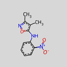 Cc1noc(Nc2ccccc2[N+](=O)[O-])c1C